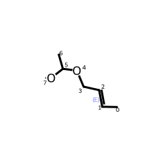 C/C=C/COC(C)[O]